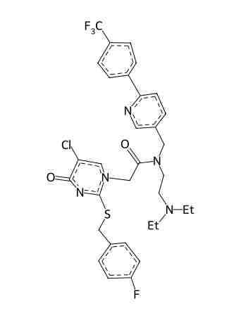 CCN(CC)CCN(Cc1ccc(-c2ccc(C(F)(F)F)cc2)nc1)C(=O)Cn1cc(Cl)c(=O)nc1SCc1ccc(F)cc1